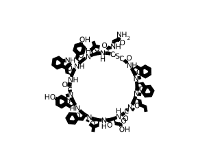 CCCC[C@H]1C(=O)N(C)CC(=O)N[C@@H](CC(=O)O)C(=O)N[C@@H](CC(C)C)C(=O)N(C)C(Cc2ccccc2)C(=O)N[C@@H](Cc2ccc(O)cc2)C(=O)N(C)CC(=O)N[C@@H](Cc2c[nH]c3ccccc23)C(=O)N[C@@H](Cc2ccc(O)cc2)C(=O)N[C@@H](CC(C)C)C(=O)N[C@H](C(=O)NCC(N)=O)CSCC(=O)N[C@@H](Cc2ccccc2)C(=O)N(C)[C@@H](Cc2ccccc2)C(=O)N1C